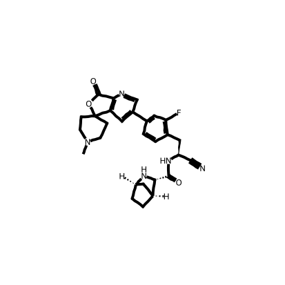 CN1CCC2(CC1)OC(=O)c1ncc(-c3ccc(C[C@@H](C#N)NC(=O)[C@H]4N[C@@H]5CC[C@H]4C5)c(F)c3)cc12